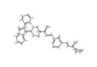 O=C(C=Cc1cccc(C=CC(=O)N2CCC(n3c(-c4ccccc4)nc4ccccc43)CC2)n1)NO